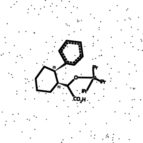 CC(C)[Si](OC(C(=O)O)[C@@H]1CCCC[C@@H]1c1ccccc1)(C(C)C)C(C)C